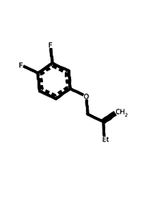 C=C(CC)COc1ccc(F)c(F)c1